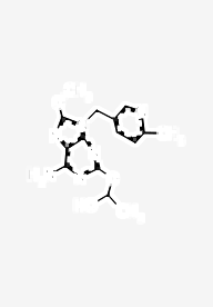 COc1nc2c(N)nc(OC(C)O)nc2n1Cc1ccc(C)nc1